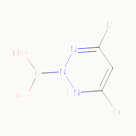 OB(O)N1N=C(Br)C=C(Br)N1